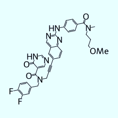 COCCCN(C)C(=O)c1ccc(Nc2ncc3cc(C#CCN(Cc4ccc(F)c(F)c4)C(=O)c4cnc[nH]c4=O)ccc3n2)cc1